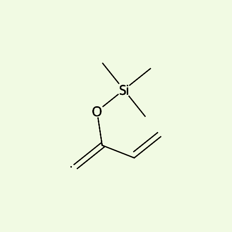 [CH]=C(C=C)O[Si](C)(C)C